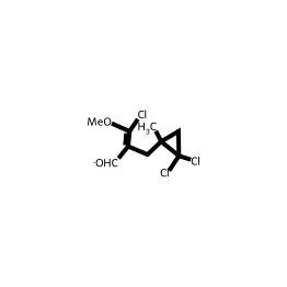 COC(Cl)=C([C]=O)CC1(C)CC1(Cl)Cl